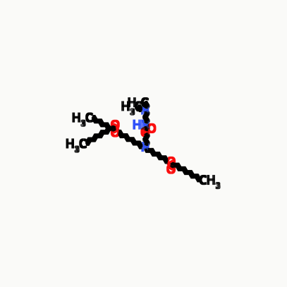 CCCCCCCCCC(=O)OCCCCCCCN(CCCCCCCCOC(=O)C(CCCCCC)CCCCCCCC)CCCOC(=O)NCCCN(CC)CC